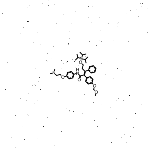 COCOc1ccc(C(C(=O)Nc2ccc(OCCN(C)C)cc2)=C(CCO[Si](C(C)C)(C(C)C)C(C)C)c2ccccc2)cc1